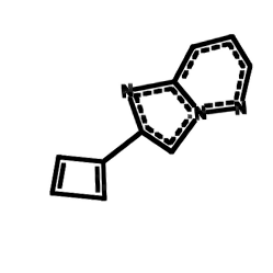 C1=CC(c2cn3ncccc3n2)=C1